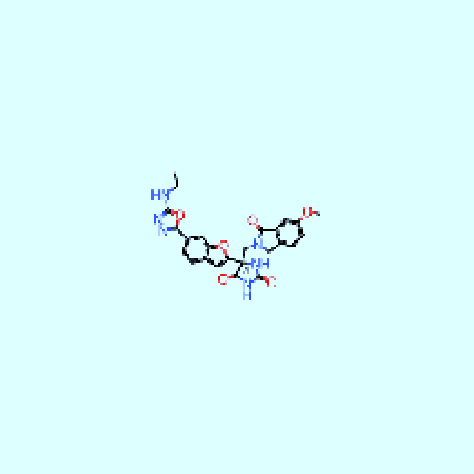 CCNc1nnc(-c2ccc3cc([C@]4(CN5Cc6ccc(OC)cc6C5=O)NC(=O)NC4=O)oc3c2)o1